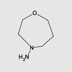 NN1CCCOCC1